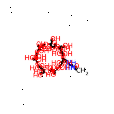 C=CC(=O)NCCNCCC1OC(O)/C(O)=C(\O)C(CCO)OC2OC(CO)C(OC3OC(CO)C(OC4OC(CO)C(OC(O)/C(O)=C(\O)C(CCO)OC5OC(CO)C(OC(O)/C(O)=C/1O)C(O)C5O)C(O)C4O)C(O)C3O)C(O)C2O